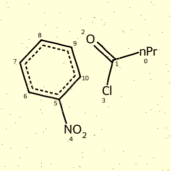 CCCC(=O)Cl.O=[N+]([O-])c1ccccc1